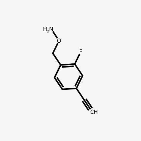 C#Cc1ccc(CON)c(F)c1